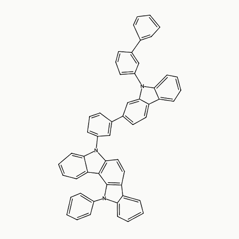 c1ccc(-c2cccc(-n3c4ccccc4c4ccc(-c5cccc(-n6c7ccccc7c7c6ccc6c8ccccc8n(-c8ccccc8)c67)c5)cc43)c2)cc1